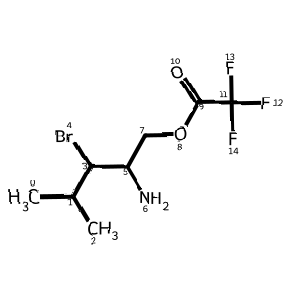 CC(C)C(Br)C(N)COC(=O)C(F)(F)F